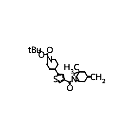 C=C1CC2CC(C)(C1)CN2C(=O)c1csc(C2CCN(C(=O)OC(C)(C)C)CC2)c1